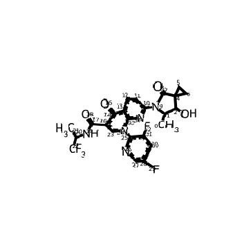 CC1C(O)C2(CC2)C(=O)N1c1ccc2c(=O)c(C(=O)NC(C)C(F)(F)F)cn(-c3ncc(F)cc3F)c2n1